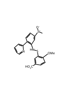 COc1ccc(C(=O)O)cc1SNc1cc([S+](C)[O-])ccc1-c1ccccn1